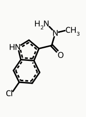 CN(N)C(=O)c1c[nH]c2cc(Cl)ccc12